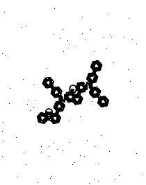 c1ccc(-c2ccc(N(c3ccc(-c4ccccc4)cc3)c3ccc4c(c3)-c3cccc5cc(N(c6ccc(-c7ccccc7)cc6)c6ccc(-c7cccc8c7oc7ccccc78)cc6)cc(c35)O4)cc2)cc1